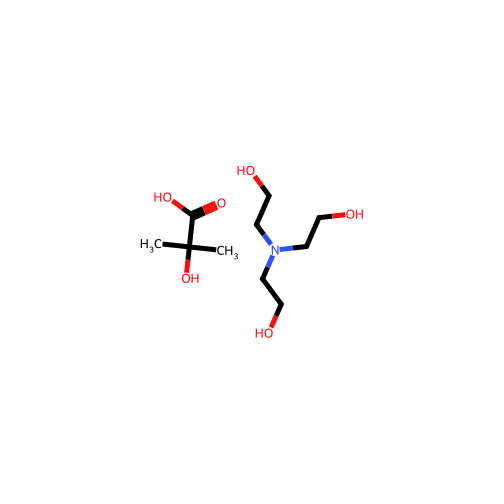 CC(C)(O)C(=O)O.OCCN(CCO)CCO